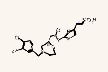 CC(=O)N(C[C@@H]1CN(Cc2ccc(Cl)c(Cl)c2)CCO1)Sc1nc(/C=C/C(=O)O)cs1